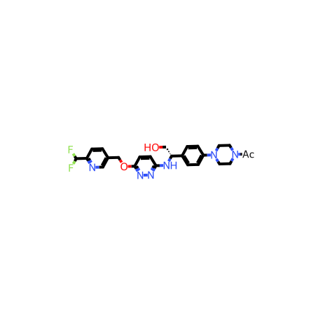 CC(=O)N1CCN(c2ccc([C@@H](CO)Nc3ccc(OCc4ccc(C(F)F)nc4)nn3)cc2)CC1